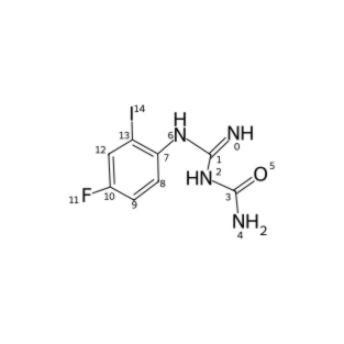 N=C(NC(N)=O)Nc1ccc(F)cc1I